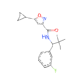 CC(C)(C)C(NC(=O)c1cc(C2CC2)on1)c1cccc(F)c1